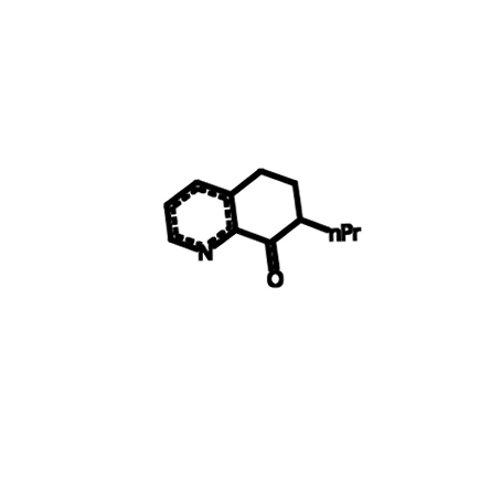 CCCC1CCc2cccnc2C1=O